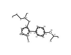 CCCN(C)Cc1cnn(C)c1-c1ccc(OC(C)C)cc1